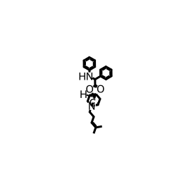 CC(C)=CCC[N+]12CCC(CC1)[C@@H](OC(=O)C(Nc1ccccc1)c1ccccc1)C2